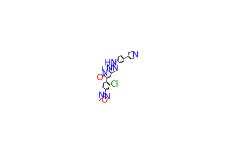 CCn1c(=O)c(-c2ccc(-c3noc(C)n3)cc2Cl)cc2cnc(Nc3ccc(C4=CCN(C)CC4)cc3)nc21